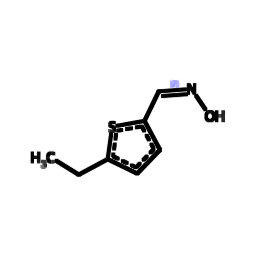 CCc1ccc(/C=N\O)s1